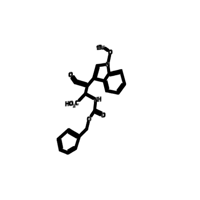 CC(C)(C)On1cc(C(=C=O)C(NC(=O)OCc2ccccc2)C(=O)O)c2ccccc21